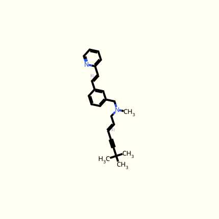 CN(C/C=C/C#CC(C)(C)C)Cc1cccc(/C=C/c2ccccn2)c1